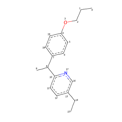 CCCOc1ccc(C(C)c2ccc(CC)cn2)cc1